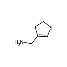 NCC1=CSCC1